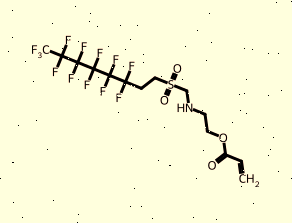 C=CC(=O)OCCNCS(=O)(=O)CCC(F)(F)C(F)(F)C(F)(F)C(F)(F)C(F)(F)C(F)(F)F